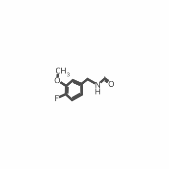 COc1cc(CN[C]=O)ccc1F